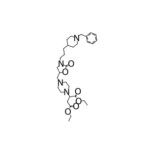 CCOC(=O)CC(C(=O)OCC)N1CCN(CC2CN(CCCC3CCN(Cc4ccccc4)CC3)C(=O)O2)CC1